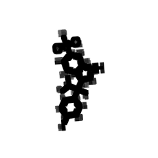 CC(C)C(C)(c1ccc(I)cc1)c1c[nH]c2cc(S(C)(=O)=O)ccc12